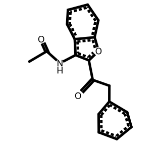 CC(=O)Nc1c(C(=O)Cc2ccccc2)oc2ccccc12